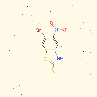 O=[N+]([O-])c1cc2[nH]c(=S)sc2cc1Br